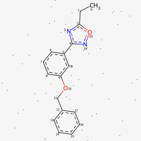 CCc1nc(-c2cccc(OCc3ccccc3)c2)no1